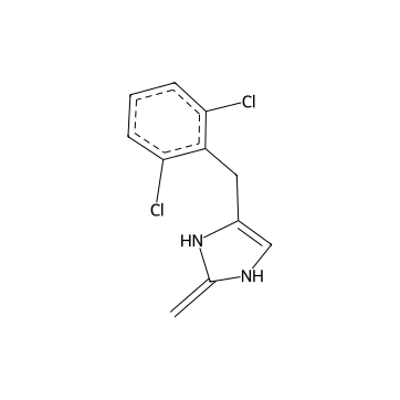 C=C1NC=C(Cc2c(Cl)cccc2Cl)N1